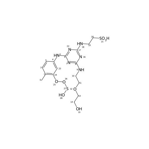 Cc1ccc(Nc2nc(NCCOCCO)nc(NCCS(=O)(=O)O)n2)cc1OOSO